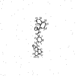 O=C(/C=C/c1cccc(/C=C/C(=O)c2cccc3ccccc23)c1)c1cccc2ccccc12